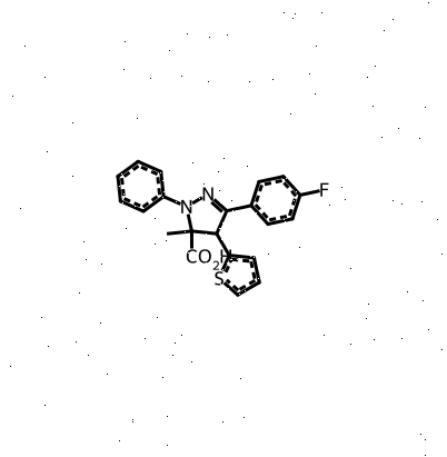 CC1(C(=O)O)C(c2cccs2)C(c2ccc(F)cc2)=NN1c1ccccc1